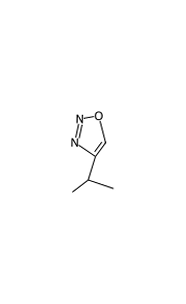 CC(C)c1conn1